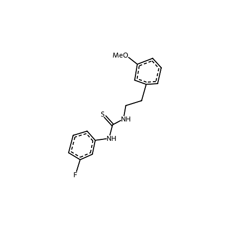 COc1cccc(CCNC(=S)Nc2cccc(F)c2)c1